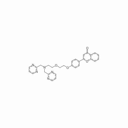 O=c1cc(-c2ccc(OCCOCCN(Cc3ncccn3)Cc3ncccn3)cc2)oc2ccccc12